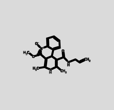 C=CCNC(=O)C1=C(C)NC(C)=C(C(=O)OC)C1c1ccccc1[N+](=O)[O-]